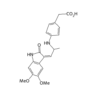 COc1cc2c(cc1OC)C(=CC(C)Nc1ccc(CC(=O)O)cc1)C(=O)N2